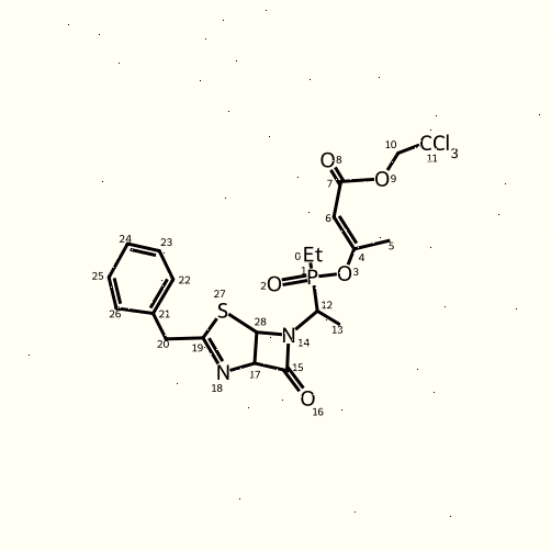 CCP(=O)(OC(C)=CC(=O)OCC(Cl)(Cl)Cl)C(C)N1C(=O)C2N=C(Cc3ccccc3)SC21